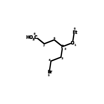 CCOP(CCBr)CCC(=O)O